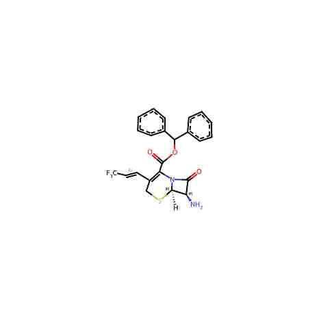 N[C@@H]1C(=O)N2C(C(=O)OC(c3ccccc3)c3ccccc3)=C(/C=C/C(F)(F)F)CS[C@H]12